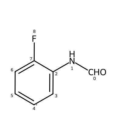 O=CNc1c[c]ccc1F